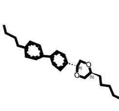 CCCCC[C@H]1CO[C@H](c2ccc(-c3ccc(CCCC)cc3)cc2)CO1